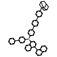 c1ccc(-c2ccc(N(c3ccc(-c4ccc(-c5ccc(C67CC8CC(CC(C8)C6)C7)cc5)cc4)cc3)c3ccc(-c4cccc5ccccc45)c4ccccc34)cc2)cc1